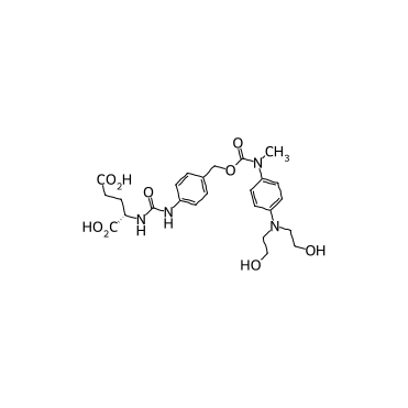 CN(C(=O)OCc1ccc(NC(=O)N[C@@H](CCC(=O)O)C(=O)O)cc1)c1ccc(N(CCO)CCO)cc1